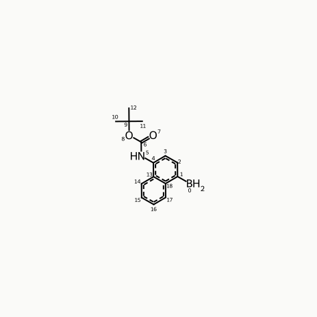 Bc1ccc(NC(=O)OC(C)(C)C)c2ccccc12